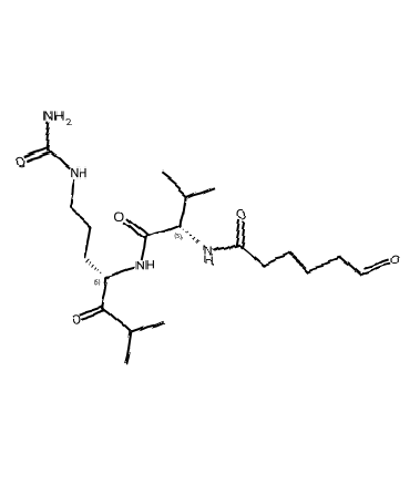 CC(C)C(=O)[C@H](CCCNC(N)=O)NC(=O)[C@@H](NC(=O)CCCCC=O)C(C)C